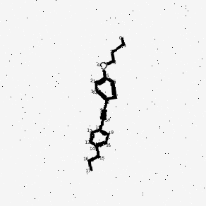 CCCCOc1ccc(C#Cc2ccc(CCC)cc2)cc1